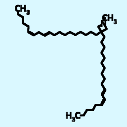 CCCCC/C=C\C=C\CCCCCCCCCCC1(CCCCCCCCC/C=C/C/C=C\CCCCC)CN(C)C1